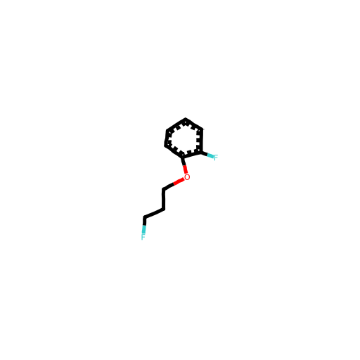 FCCCOc1ccc[c]c1F